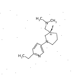 CCc1ccc(N2CCC[C@@](F)(CN(C)C)C2)cn1